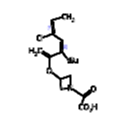 C=C(OC1CN(C(=O)C(=O)O)C1)/C(=C\C(Cl)=C/C)C(C)(C)C